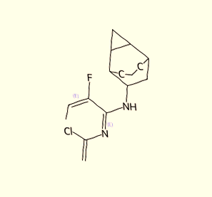 C=C(Cl)/N=C(NC1CC2CCCC1C1CC21)\C(F)=C/C